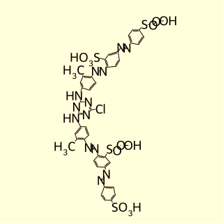 Cc1cc(Nc2nc(Cl)nc(Nc3ccc(N=Nc4ccc(N=Nc5ccc(SOOO)cc5)cc4S(=O)(=O)O)c(C)c3)n2)ccc1N=Nc1ccc(N=Nc2ccc(S(=O)(=O)O)cc2)cc1SOOO